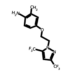 Cc1cc(OCCn2nc(C(F)(F)F)cc2C(F)(F)F)ccc1N